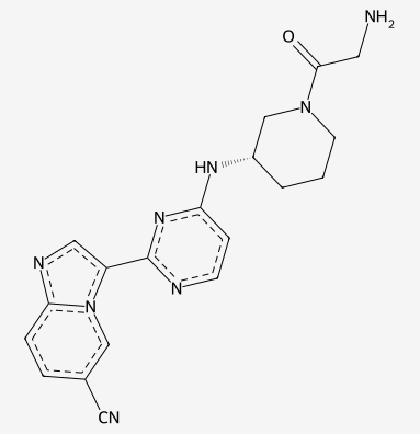 N#Cc1ccc2ncc(-c3nccc(N[C@H]4CCCN(C(=O)CN)C4)n3)n2c1